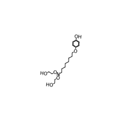 OCCON(CCCCCCCCOc1ccc(O)cc1)OCCO